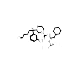 CN(C)C[C@H](CC1CCCCC1)NC(=O)N1CCC[C@@H]([C@@](O)(CCCC=O)c2cccc(Cl)c2)C1